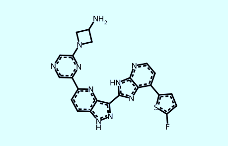 NC1CN(c2cncc(-c3ccc4[nH]nc(-c5nc6c(-c7ccc(F)s7)ccnc6[nH]5)c4n3)n2)C1